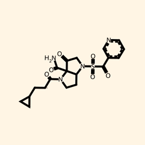 NC(=O)C12C(=O)CN(S(=O)(=O)C(=O)c3cccnc3)C1CCN2C(=O)[CH]CC1CC1